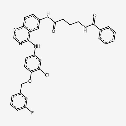 O=C(CCCNC(=O)c1ccccc1)Nc1ccc2ncnc(Nc3ccc(OCc4cccc(F)c4)c(Cl)c3)c2c1